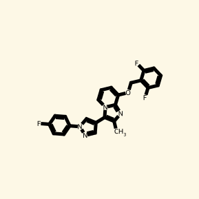 Cc1nc2c(OCc3c(F)cccc3F)cccn2c1-c1cnn(-c2ccc(F)cc2)c1